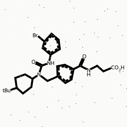 CC(C)(C)C1CCC(N(Cc2ccc(C(=O)NCCC(=O)O)cc2)C(=O)Nc2cccc(Br)c2)CC1